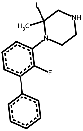 CC1(I)CNCCN1c1cccc(-c2ccccc2)c1F